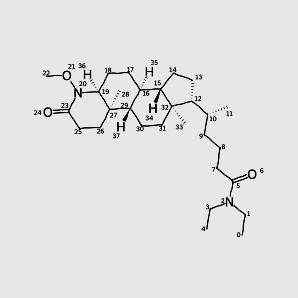 CCN(CC)C(=O)CCC[C@@H](C)[C@H]1CC[C@H]2[C@@H]3CC[C@@H]4N(OC)C(=O)CC[C@]4(C)[C@H]3CC[C@]12C